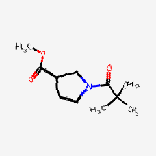 COC(=O)C1CCN(C(=O)C(C)(C)C)C1